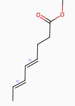 C/C=C/C=C/CCC(=O)OC